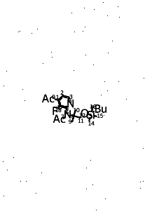 [CH2]C(=O)c1ccnc(N(C(C)=O)C(C)(C)CO[Si](C)(C)C(C)(C)C)c1F